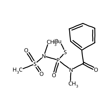 CCC(C)SP(=O)(N(C)C(=O)c1ccccc1)N(C)S(C)(=O)=O